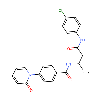 CC(CC(=O)Nc1ccc(Cl)cc1)NC(=O)c1ccc(-n2ccccc2=O)cc1